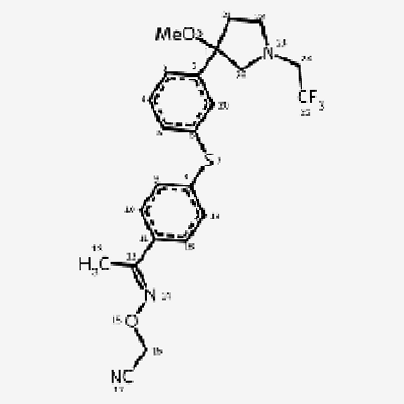 COC1(c2cccc(Sc3ccc(C(C)=NOCC#N)cc3)c2)CCN(CC(F)(F)F)C1